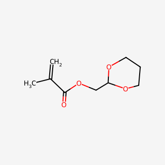 C=C(C)C(=O)OCC1OCCCO1